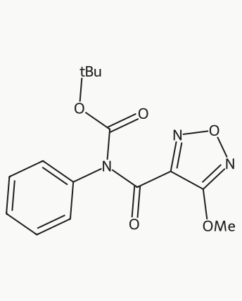 COc1nonc1C(=O)N(C(=O)OC(C)(C)C)c1ccccc1